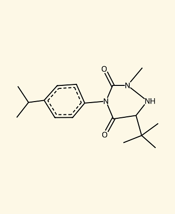 CC(C)c1ccc(N2C(=O)C(C(C)(C)C)NN(C)C2=O)cc1